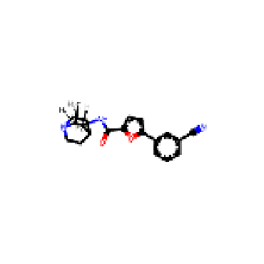 C[C@H]1[C@H](NC(=O)c2ccc(-c3cccc(C#N)c3)o2)C2CCN1CC2